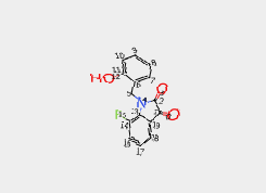 O=C1C(=O)N(Cc2ccccc2O)c2c(F)cccc21